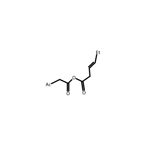 CCC=CCC(=O)OC(=O)CC(C)=O